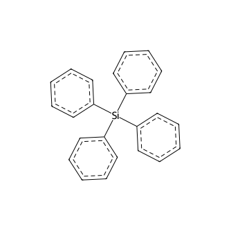 c1ccc([Si](c2ccccc2)(c2ccccc2)c2ccccc2)cc1